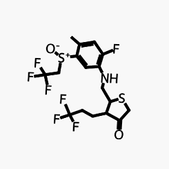 Cc1cc(F)c(NCC2SCC(=O)C2CCC(F)(F)F)cc1[S+]([O-])CC(F)(F)F